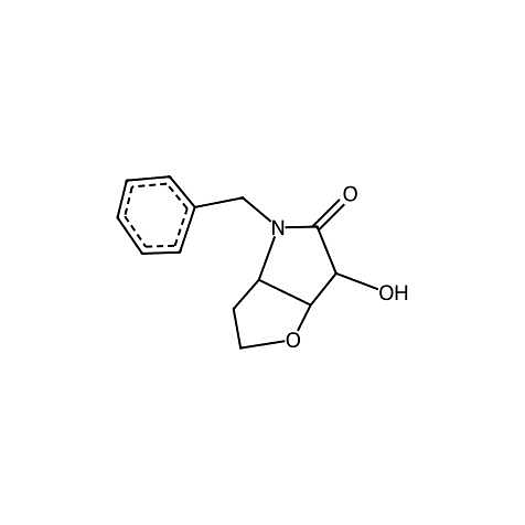 O=C1C(O)C2OCCC2N1Cc1ccccc1